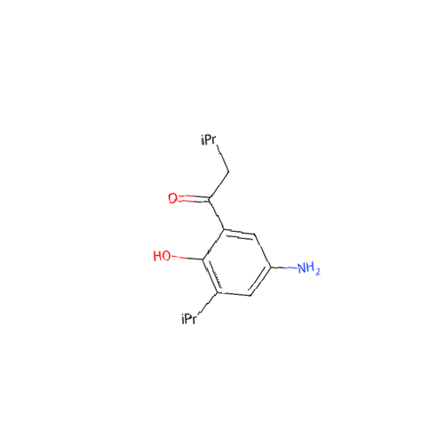 CC(C)CC(=O)c1cc(N)cc(C(C)C)c1O